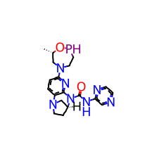 C[C@H]1CN(c2ccc3c(n2)N(C(=O)Nc2cnccn2)[C@H]2CCN3C2)CCPO1